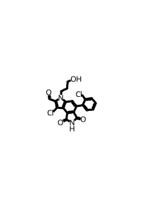 O=Cc1c(Cl)c2c3c(c(-c4ccccc4Cl)cc2n1CCCO)C(=O)NC3=O